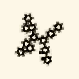 C1=CCNC(C2=CC=C(c3cc(-c4ccc(-c5ccccc5)cc4)cc(-c4cc(-c5ccc6c7c(cccc57)C5=C6CCC=C5)cc(-c5ccc6c7c(cccc57)-c5ccccc5-6)c4)c3)CN2)=C1